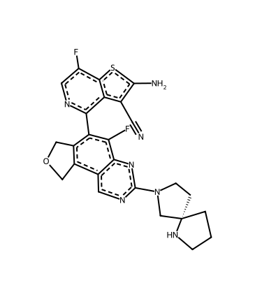 N#Cc1c(N)sc2c(F)cnc(-c3c4c(c5cnc(N6CC[C@@]7(CCCN7)C6)nc5c3F)COC4)c12